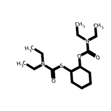 CCN(CC)C(=O)OC1CCCCC1SC(=O)N(CC)CC